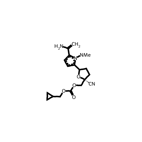 C=C(N)c1ccc(C2CC[C@@](C#N)(COC(=O)OCC3CC3)O2)n1NC